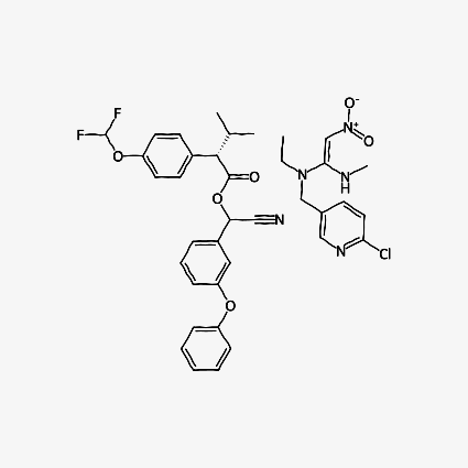 CC(C)[C@H](C(=O)OC(C#N)c1cccc(Oc2ccccc2)c1)c1ccc(OC(F)F)cc1.CCN(Cc1ccc(Cl)nc1)/C(=C/[N+](=O)[O-])NC